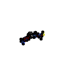 C=C/C=C\C(=C/C)C1(c2ccc(-c3cccc(N4c5ccccc5C5(c6ccccc6-c6ccc(N(c7ccc8sc9ccccc9c8c7)c7ccccc7-c7ccccc7C7=CCCC=C7)cc65)c5ccccc54)c3)cc2)c2ccccc2-c2c(N(c3ccc4c(c3)C3(c5ccccc5-4)c4ccccc4N(c4ccccc4)c4ccccc43)c3ccccc3-c3ccccc3-c3ccccc3)cccc21